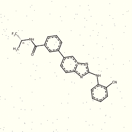 C[C@@H](NC(=O)c1cccc(-c2ccc3nc(Nc4ccccc4C#N)nn3c2)c1)C(F)(F)F